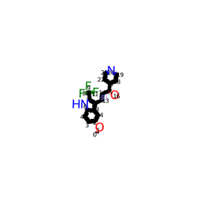 COc1ccc2[nH]c(C(F)(F)F)c(/C=C/C(=O)c3ccncc3)c2c1